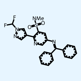 CNS(=O)(=O)c1cc(N=C(c2ccccc2)c2ccccc2)cnc1-c1cnn(C(F)F)c1